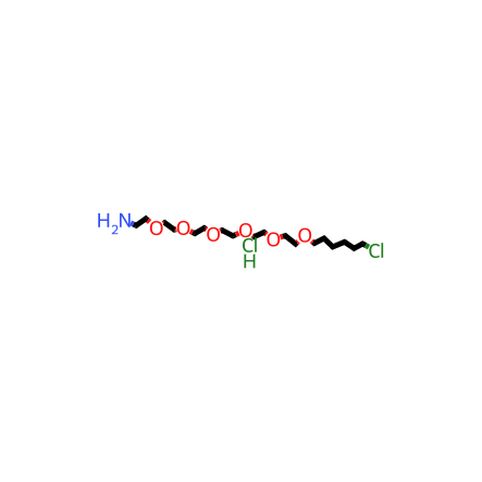 Cl.NCCOCCOCCOCCOCCOCCOCCCCCCCl